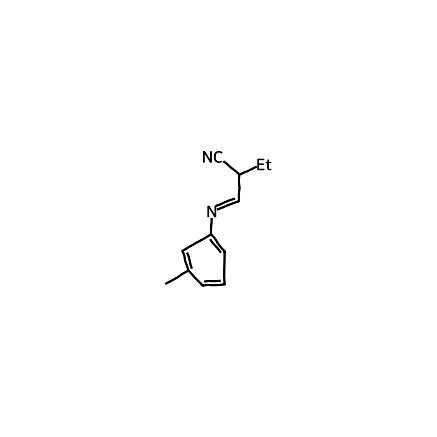 CCC(C#N)C=Nc1cccc(C)c1